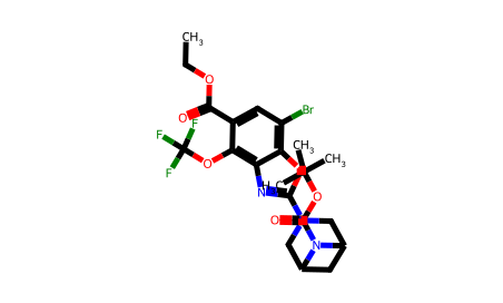 CCOC(=O)c1cc(Br)c2oc(N3CC4CC(C3)N4C(=O)OC(C)(C)C)nc2c1OC(F)(F)F